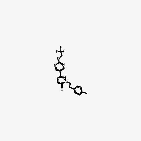 Cc1ccc(CCn2nc(-c3cnc(OCC(F)(F)F)nc3)ccc2=O)cc1